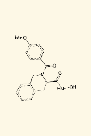 COc1ccc(C(=O)N2Cc3ccccc3C[C@@H]2C(=O)NO)cc1